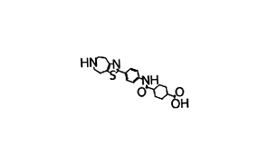 O=C(O)C1CCC(C(=O)Nc2ccc(-c3nc4c(s3)CCNCC4)cc2)CC1